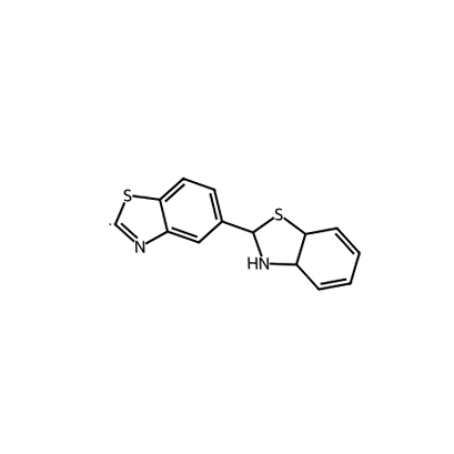 [c]1nc2cc(C3NC4C=CC=CC4S3)ccc2s1